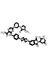 CN1CCN([C@@H]2CCCN(c3cnc(C(N)=O)c(Nc4ccc(N5CC6(C5)CN(c5ccc7c(c5)C(=O)N(C5CC(=O)CNC5=O)C7=O)C6)cc4)n3)C2)C1=O